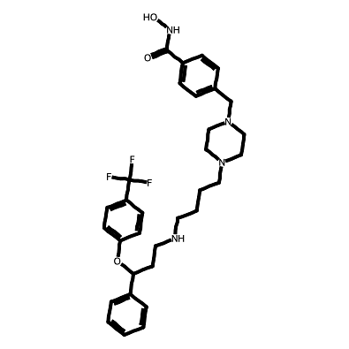 O=C(NO)c1ccc(CN2CCN(CCCCNCCC(Oc3ccc(C(F)(F)F)cc3)c3ccccc3)CC2)cc1